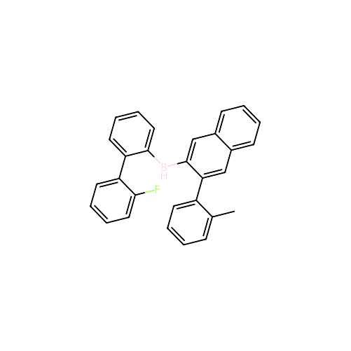 Cc1ccccc1-c1cc2ccccc2cc1Bc1ccccc1-c1ccccc1F